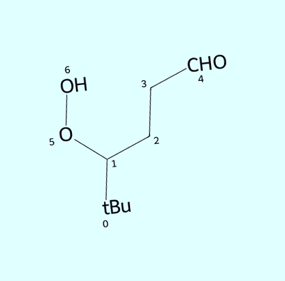 CC(C)(C)C(CCC=O)OO